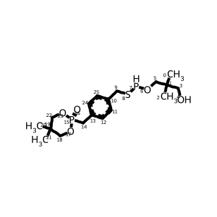 CC(C)(CO)COPSCc1ccc(CP2(=O)OCC(C)(C)CO2)cc1